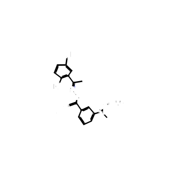 COSN(C)c1cccc(C(=O)N/N=C(\C)c2cc(Cl)ccc2O)c1.S